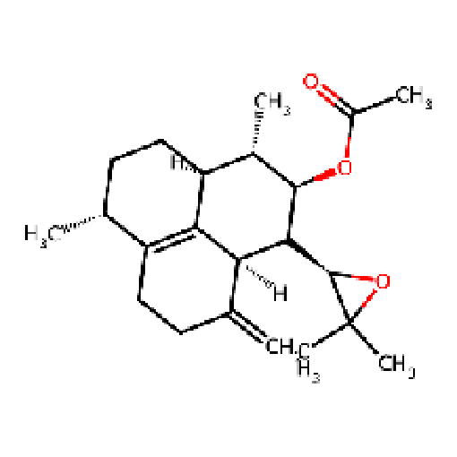 C=C1CCC2=C3[C@H]1C([C@H]1OC1(C)C)[C@H](OC(C)=O)[C@@H](C)[C@@H]3CC[C@H]2C